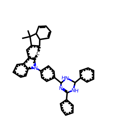 CC1(C)c2cc3c4ccccc4n(-c4ccc(C5N=C(c6ccccc6)NC(c6ccccc6)N5)cc4)c3cc2C2C=CC=CC21